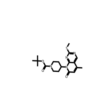 CSc1ncc2c(C)cc(=O)n(C3CCN(C(=O)OC(C)(C)C)CC3)c2n1